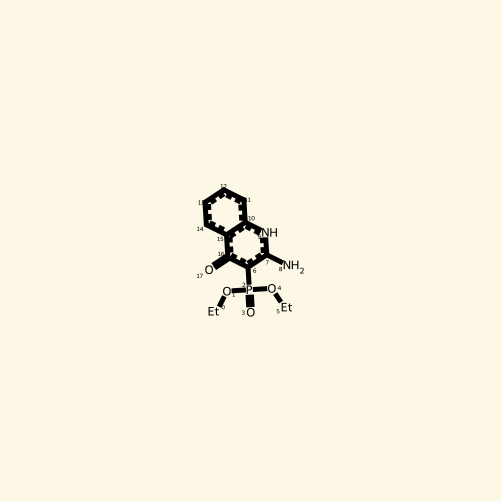 CCOP(=O)(OCC)c1c(N)[nH]c2ccccc2c1=O